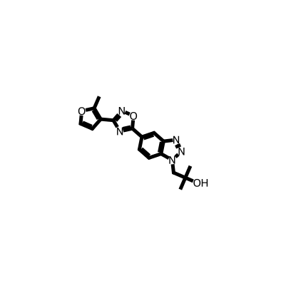 Cc1occc1-c1noc(-c2ccc3c(c2)nnn3CC(C)(C)O)n1